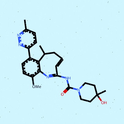 COc1ccc(-c2ccc(C)nn2)c2c1/N=C(NC(=O)N1CCC(C)(O)CC1)\C=C\CC2C